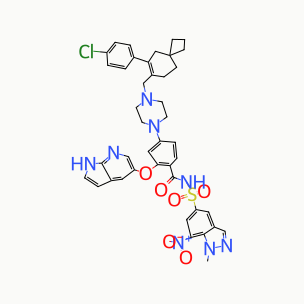 Cn1ncc2cc(S(=O)(=O)NC(=O)c3ccc(N4CCN(CC5=C(c6ccc(Cl)cc6)CC6(CCC6)CC5)CC4)cc3Oc3cnc4[nH]ccc4c3)cc([N+](=O)[O-])c21